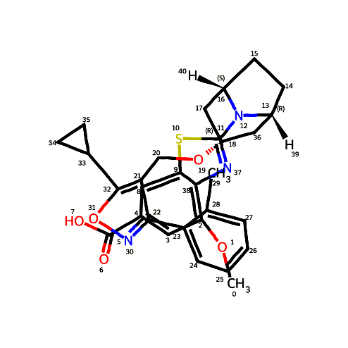 COc1cc(C(=O)O)cc2sc(N3[C@@H]4CC[C@H]3C[C@@H](OCc3c(-c5ccccc5C)noc3C3CC3)C4)nc12